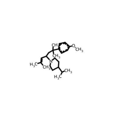 COc1ccc(C(C)(C)CC(C=C(C)C)N2CCC(C(C)C)CC2)cc1